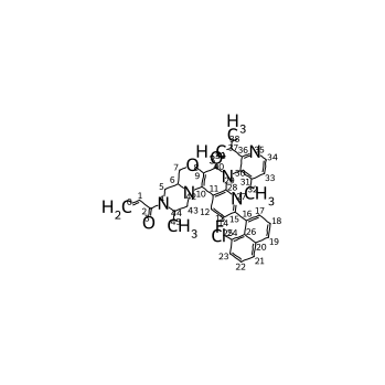 C=CC(=O)N1CC2COc3c(c4cc(F)c(-c5cccc6cccc(Cl)c56)nc4n(-c4c(C)ccnc4C(C)C)c3=O)N2CC1C